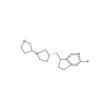 Fc1cc2c(cn1)C(C[C@@H]1CCN(C3CCOC3)C1)CC2